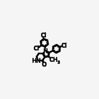 Cc1c2c(n(-c3ccc(Cl)cc3Cl)c1-c1ccc(Cl)cc1)CCNC2=O